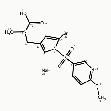 COc1ccc(S(=O)(=O)n2cc(CN(C)C(=O)O)cc2Br)cn1.[NaH]